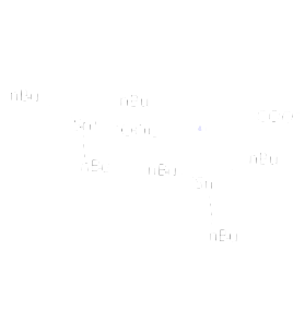 CCC[CH2][Sn+]([CH2]CCC)[CH2]CCC.CCC[CH2][Sn+]([CH2]CCC)[CH2]CCC.O=C([O-])/C=C/C(=O)[O-]